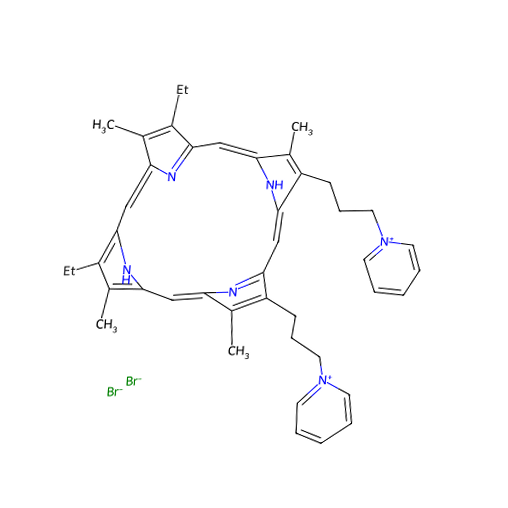 CCC1=C(C)c2cc3[nH]c(cc4nc(cc5[nH]c(cc1n2)c(C)c5CCC[n+]1ccccc1)C(CCC[n+]1ccccc1)=C4C)c(C)c3CC.[Br-].[Br-]